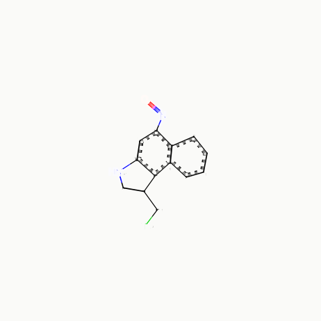 O=Nc1cc2c(c3ccccc13)C(CCl)CN2